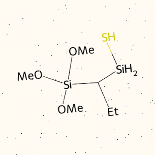 CCC([SiH2]S)[Si](OC)(OC)OC